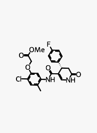 COC(=O)COc1cc(NC(=O)C2=CNC(=O)C[C@H]2c2ccc(F)cc2)c(C)cc1Cl